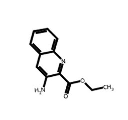 CCOC(=O)c1nc2ccccc2cc1N